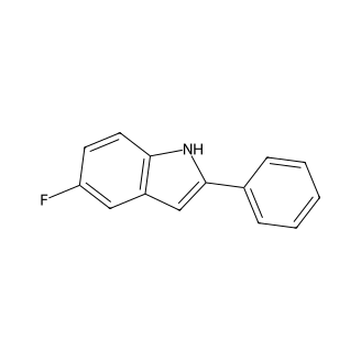 Fc1ccc2[nH]c(-c3ccccc3)cc2c1